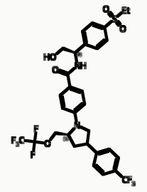 CCS(=O)(=O)c1ccc([C@H](CO)NC(=O)c2ccc(N3CC(c4ccc(C(F)(F)F)cc4)C[C@H]3COC(F)(F)C(F)(F)F)cc2)cc1